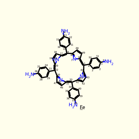 Nc1ccc(-c2c3nc(c(-c4ccc(N)cc4)c4ccc([nH]4)c(-c4ccc(N)cc4)c4nc(c(-c5ccc(N)cc5)c5ccc2[nH]5)C=C4)C=C3)cc1.[Fe]